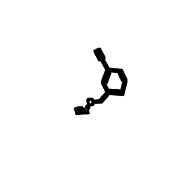 C#Cc1cccc(COC(C)(C)C)c1